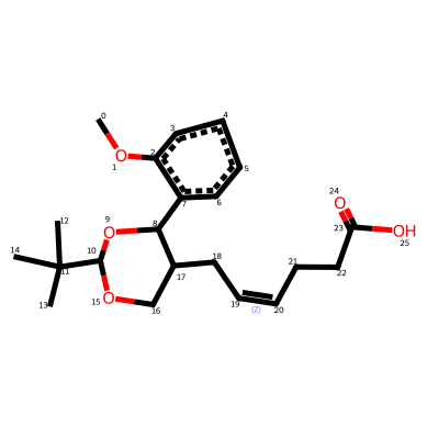 COc1ccccc1C1OC(C(C)(C)C)OCC1C/C=C\CCC(=O)O